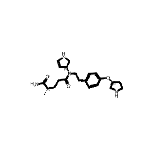 C[C@@H](C[CH]C(=O)N(CCc1ccc(O[C@H]2CCNC2)cc1)[C@H]1CCNC1)C(N)=O